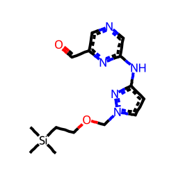 C[Si](C)(C)CCOCn1ccc(Nc2cncc(C=O)n2)n1